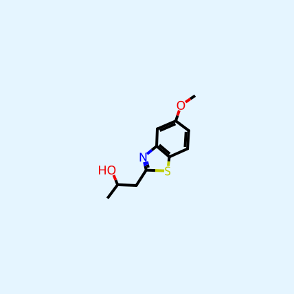 COc1ccc2sc(CC(C)O)nc2c1